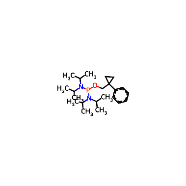 CC(C)N(C(C)C)P(OCC1(c2ccccc2)CC1)N(C(C)C)C(C)C